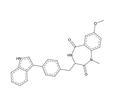 COc1ccc2c(c1)C(=O)NC(Cc1ccc(-c3c[nH]c4ccccc34)cc1)C(=O)N2C